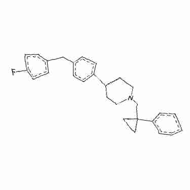 Fc1ccc(Cc2ccc(C3CCN(CC4(c5ccccc5)CC4)CC3)cc2)cc1